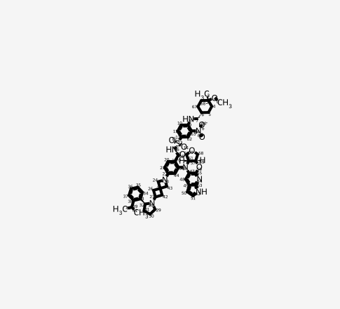 CO[C@]1(C)CC[C@H](CNc2ccc(S(=O)(=O)NC(=O)c3ccc(N4CC5(CC(N6CCC[C@H]6c6ccccc6C(C)C)C5)C4)cc3N3c4cc5cc[nH]c5nc4O[C@@H]4COC[C@H]43)cc2[N+](=O)[O-])CC1